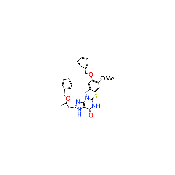 COc1ccc(Cn2c(=S)[nH]c(=O)c3[nH]c(CC(C)OCc4ccccc4)nc32)cc1OCc1ccccc1